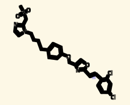 CS(=O)(=O)Cc1nccn1CCCCc1ccc(OCc2coc(/C=C/c3ccc(Cl)cc3Cl)n2)cc1